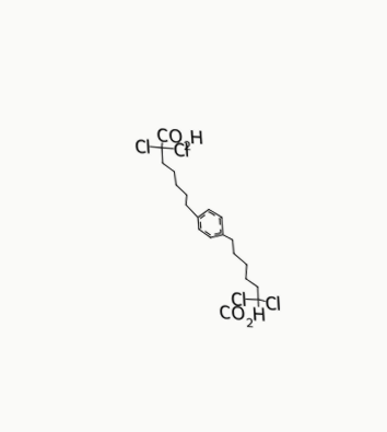 O=C(O)C(Cl)(Cl)CCCCCc1ccc(CCCCCC(Cl)(Cl)C(=O)O)cc1